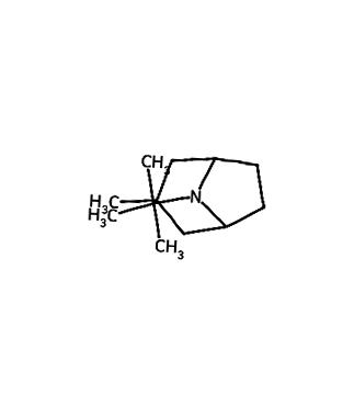 CC1CC2CCC(C1)N2C(C)(C)C